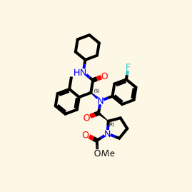 COC(=O)N1CCC[C@@H]1C(=O)N(c1cccc(F)c1)[C@H](C(=O)NC1CCCCC1)c1ccccc1C